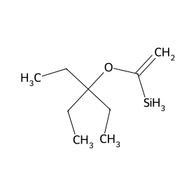 C=C([SiH3])OC(CC)(CC)CC